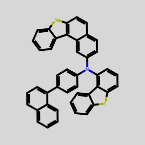 c1ccc2c(-c3ccc(N(c4ccc5ccc6sc7ccccc7c6c5c4)c4cccc5sc6ccccc6c45)cc3)cccc2c1